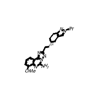 COc1cccc2c1nc(N)n1nc(CC[C@@H]3CCc4nn(C(C)C)cc4C3)nc21